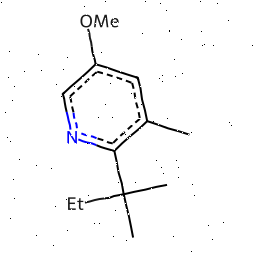 CCC(C)(C)c1ncc(OC)cc1C